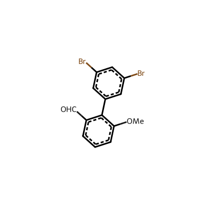 COc1cccc(C=O)c1-c1cc(Br)cc(Br)c1